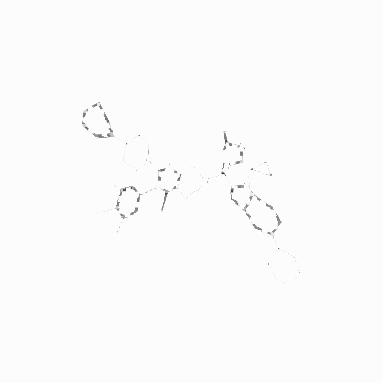 Cc1cc(-n2c(N3CCC(c4ccccc4)CC3)nc3c(c2=O)CCN(C(=O)c2cc4cc(C5CCOCC5)ccc4n2[C@@]2(c4noc(=O)[nH]4)C[C@@H]2C)C3)cc(C)c1F